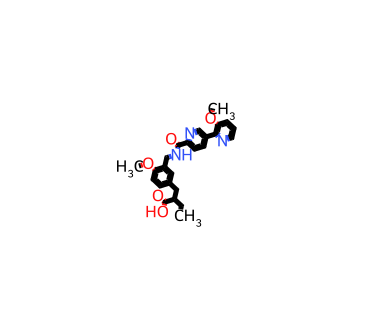 CCC(Cc1ccc(OC)c(CNC(=O)c2ccc(-c3ncccc3OC)cn2)c1)C(=O)O